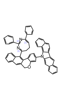 C1=C(c2ccccc2)/N=C(c2ccccc2)\N=C(\c2c3c(cc4ccccc24)COc2cc(-n4c5cc6ccccc6cc5c5ccc6ccccc6c54)ccc2-3)CC\1